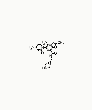 Cc1cc2c(N)c(-n3ccc(N)nc3=O)cc(C(=O)NCC3C4CNCC43)c2o1